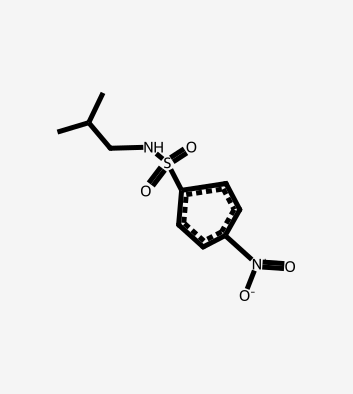 CC(C)CNS(=O)(=O)c1ccc([N+](=O)[O-])cc1